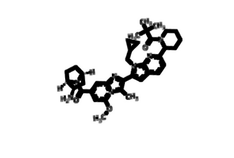 COc1cc(C(=O)N2[C@H]3CC[C@@H]2[C@H](N)C3)cc2nc(-c3cc4ccc(C5CCCCN5C(=O)C(C)(C)C)nc4n3CC3CC3)c(C)n12